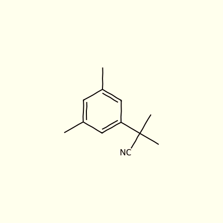 Cc1cc(C)cc(C(C)(C)C#N)c1